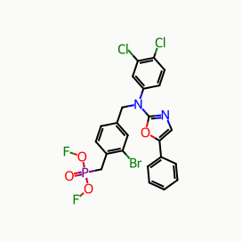 O=P(Cc1ccc(CN(c2ccc(Cl)c(Cl)c2)c2ncc(-c3ccccc3)o2)cc1Br)(OF)OF